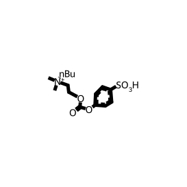 CCCC[N+](C)(C)CCOC(=O)Oc1ccc(S(=O)(=O)O)cc1